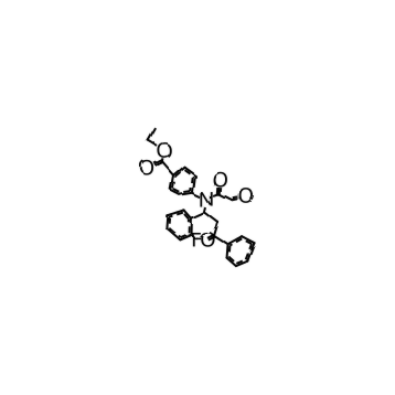 CCOC(=O)c1ccc(N(C(=O)C=O)C(CC(=O)c2ccccc2)c2ccccc2F)cc1